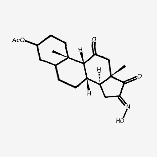 CC(=O)OC1CC[C@@]2(C)C(CC[C@@H]3[C@H]2C(=O)C[C@]2(C)C(=O)C(=NO)C[C@@H]32)C1